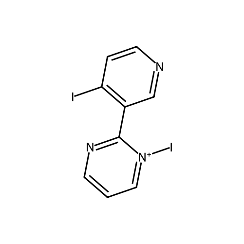 Ic1ccncc1-c1nccc[n+]1I